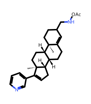 CC(=O)ONCC1C=C2CC[C@H]3[C@H](CC[C@]4(C)C(c5cccnc5)=CC[C@@H]34)[C@@]2(C)CC1